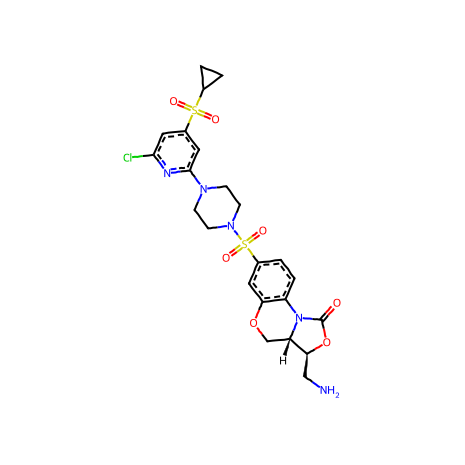 NC[C@@H]1OC(=O)N2c3ccc(S(=O)(=O)N4CCN(c5cc(S(=O)(=O)C6CC6)cc(Cl)n5)CC4)cc3OC[C@@H]12